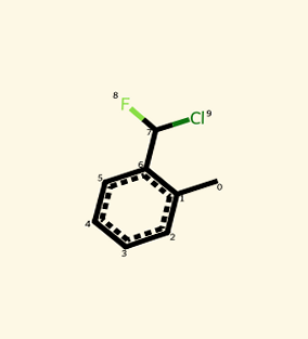 Cc1ccccc1C(F)Cl